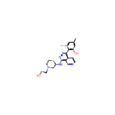 Cc1cc(O)c(-c2nnc(N[C@@H]3CCCN(CCO)C3)c3cnccc23)c(F)c1